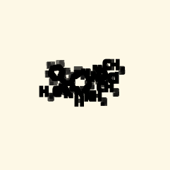 Cc1nn(-c2cc(N)[nH]c3nn(C)c(-c4ccccc4)c3ccn2)c(C)c1Cl